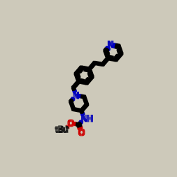 CC(C)(C)OC(=O)NC1CCN(Cc2ccc(CCc3cccnc3)cc2)CC1